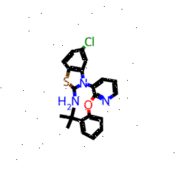 CC(C)(C)c1ccccc1Oc1ncccc1N1c2cc(Cl)ccc2SC1N